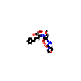 COC[C@@H](NC(=O)N1CCOCC1)C(=O)N[C@@H](CCCc1ccccc1)B(O)O